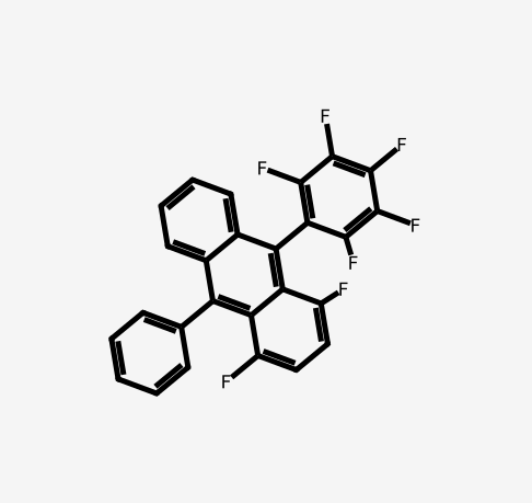 Fc1c(F)c(F)c(-c2c3ccccc3c(-c3ccccc3)c3c(F)ccc(F)c23)c(F)c1F